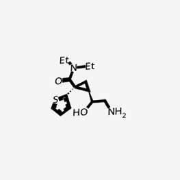 CCN(CC)C(=O)[C@@]1(c2cccs2)C[C@H]1C(O)CN